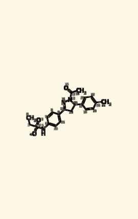 CCS(=O)(=O)Nc1ccc(C2=NN(C(C)=O)C(c3ccc(C)cc3)C2)cc1